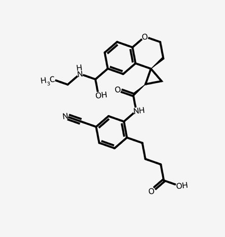 CCNC(O)c1ccc2c(c1)[C@]1(CCO2)C[C@H]1C(=O)Nc1cc(C#N)ccc1CCCC(=O)O